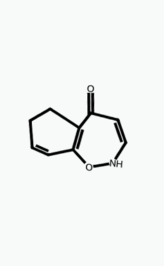 O=C1C=CNOC2=C1CCC=C2